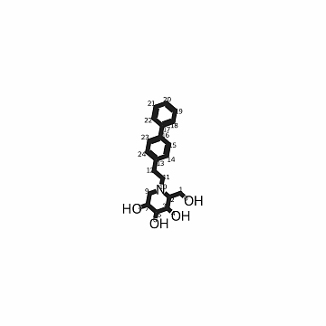 OCC1C(O)C(O)C(O)CN1CCc1ccc(-c2ccccc2)cc1